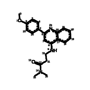 COc1ccc(-c2cc(NCCC(=O)N(C)C)c3ccccc3n2)cc1